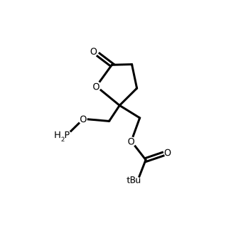 CC(C)(C)C(=O)OCC1(COP)CCC(=O)O1